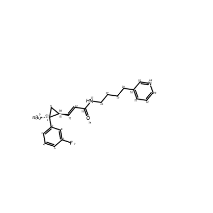 CCCC[C@]1(c2cccc(F)c2)C[C@H]1C=CC(=O)NCCCCc1cccnc1